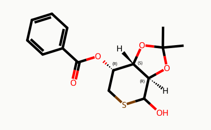 CC1(C)O[C@H]2[C@@H](OC(=O)c3ccccc3)CSC(O)[C@@H]2O1